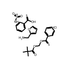 CC(C)(C)C(=O)OCOC(=S)c1ccccc1.Cl.NCc1ccco1.N[SH](=O)=O.OC(=S)c1ccccc1